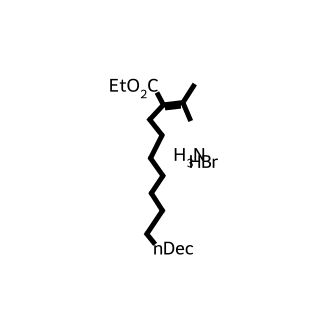 Br.CCCCCCCCCCCCCCCCCC(C(=O)OCC)=C(C)C.N